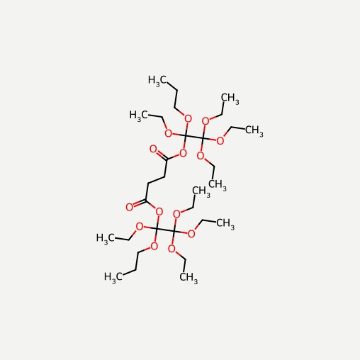 CCCOC(OCC)(OC(=O)CCC(=O)OC(OCC)(OCCC)C(OCC)(OCC)OCC)C(OCC)(OCC)OCC